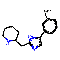 COc1cccc(-c2cnc(CC3CCCCN3)[nH]2)c1